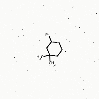 CC(C)C1CCCC(C)(C)C1